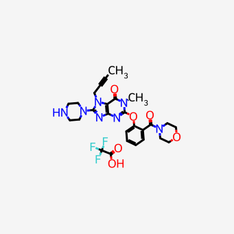 CC#CCn1c(N2CCNCC2)nc2nc(Oc3ccccc3C(=O)N3CCOCC3)n(C)c(=O)c21.O=C(O)C(F)(F)F